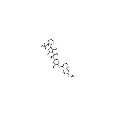 COc1ccc2c(Oc3ccc(NC(=O)c4c(C)n(CS(C)(=O)=O)n(-c5ccccc5)c4=O)cc3F)ccnc2c1